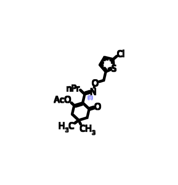 CCC/C(=N\OCc1ccc(Cl)s1)C1=C(OC(C)=O)CC(C)(C)CC1=O